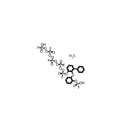 O=P(O)(F)OOP(=O)(F)OOP(=O)(F)OOP(=O)(F)OOP(=O)(F)Oc1cccc(-c2ccccc2)c1Sc1ccccc1OP(=O)(O)F.S